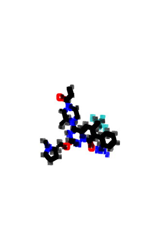 C=CC(=O)N1CCN(c2nc(OC[C@@H]3CCCN3C)nn3c(=O)c(-c4c(N)cccc4F)c(C(F)(F)F)cc23)[C@@H](C)C1